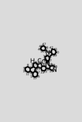 CC1(C)c2ccc3c4ccccc4c4ccccc4c3c2-c2ccc3c4cnccc4n(-c4ccc5c(c4)c4ccccc4n5-c4ccccc4)c3c21